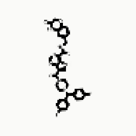 O=C1COc2ccc(CNC(=O)c3ncnc4c(C(=O)N5CCN(C(c6ccc(F)cc6)c6ccc(F)cc6)CC5)c[nH]c34)cc2N1